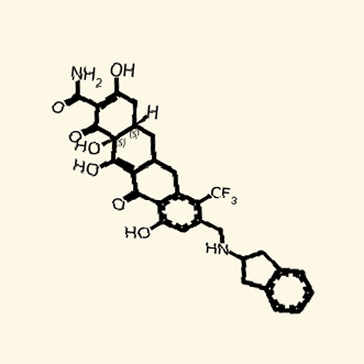 NC(=O)C1=C(O)C[C@@H]2CC3Cc4c(c(O)cc(CNC5Cc6ccccc6C5)c4C(F)(F)F)C(=O)C3=C(O)[C@]2(O)C1=O